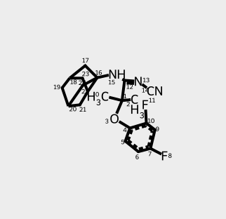 CC(C)(Oc1ccc(F)cc1F)/C(=N\C#N)NC12CC3CC(CC1C3)C2